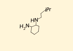 CC(C)CCNC1CCCCC1N